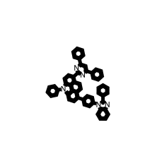 c1ccc(-c2cc(-c3ccccc3)nc(-c3ccc4c5c3ccc3c(-c6ccc(-n7c(-c8ccccc8)nc8ccccc87)cc6)ccc(c35)n4-c3ccccc3)n2)cc1